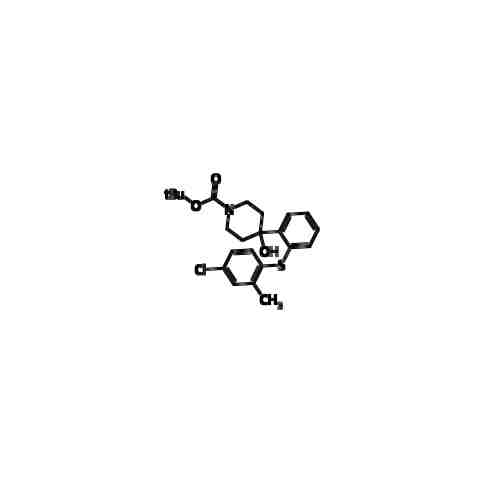 Cc1cc(Cl)ccc1Sc1ccccc1C1(O)CCN(C(=O)OC(C)(C)C)CC1